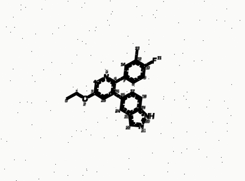 CCOc1cnc(-c2ccc(F)c(C)c2)c(-c2ccc3[nH]ncc3c2)c1